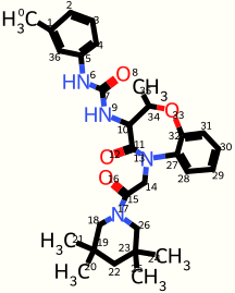 Cc1cccc(NC(=O)NC2C(=O)N(CC(=O)N3CC(C)(C)CC(C)(C)C3)c3ccccc3OC2C)c1